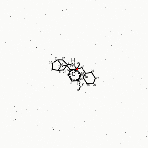 COc1ccc(CN2C3CCC2CC(NC(=O)CC2CCCCC2)C3)c(C)c1C